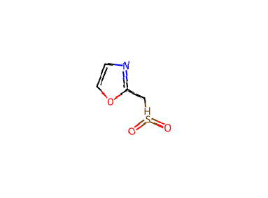 O=[SH](=O)Cc1ncco1